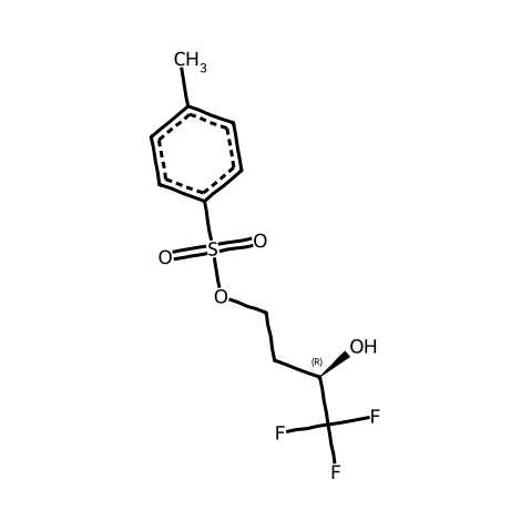 Cc1ccc(S(=O)(=O)OCC[C@@H](O)C(F)(F)F)cc1